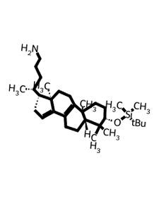 C[C@H](CCCN)[C@H]1CC=C2C3=C(CC[C@@]21C)[C@@]1(C)CC[C@H](O[Si](C)(C)C(C)(C)C)C(C)(C)[C@@H]1CC3